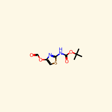 CC(C)(C)OC(=O)Nc1nc(OC=O)cs1